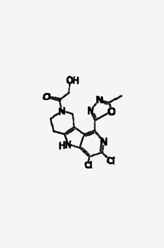 Cc1nnc(-c2nc(Cl)c(Cl)c3[nH]c4c(c23)CN(C(=O)CO)CC4)o1